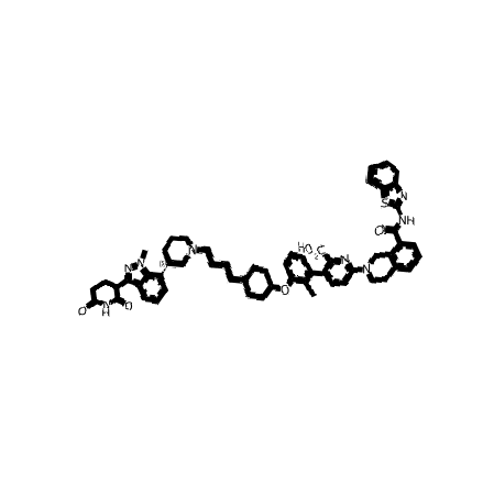 Cc1c(OC2CCC(CCCCN3CCC[C@@H](c4cccc5c(C6CCC(=O)NC6=O)nn(C)c45)C3)CC2)cccc1-c1ccc(N2CCc3cccc(C(=O)Nc4nc5ccccc5s4)c3C2)nc1C(=O)O